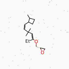 CC/C(=C\C(C)(C)/C=C\C1CCC1C)OC[C@@H]1CO1